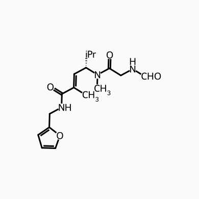 C/C(=C\[C@H](C(C)C)N(C)C(=O)CNC=O)C(=O)NCc1ccco1